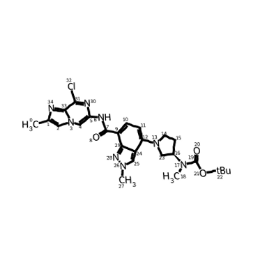 Cc1cn2cc(NC(=O)c3ccc(N4CC[C@@H](N(C)C(=O)OC(C)(C)C)C4)c4cn(C)nc34)nc(Cl)c2n1